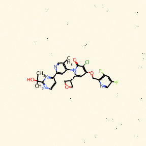 Cc1cnc(-c2ccnc(C(C)(C)O)n2)cc1-n1c(C2COC2)cc(OCc2ncc(F)cc2F)c(Cl)c1=O